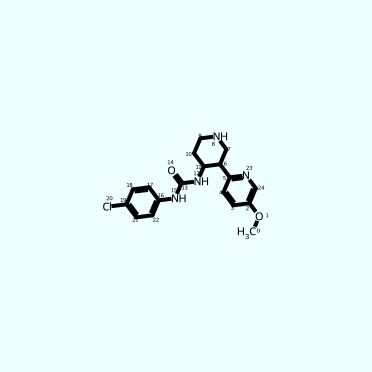 COc1ccc(C2CNCCC2NC(=O)Nc2ccc(Cl)cc2)nc1